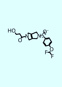 O=C(CCO)N1CC2=C(C1)CN([S+]([O-])c1ccc(OC(F)F)cc1)C2